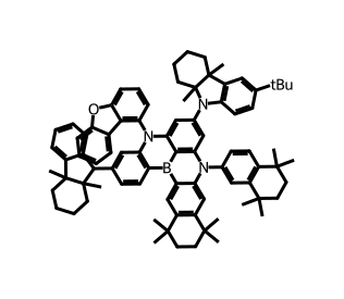 CC(C)(C)c1ccc2c(c1)C1(C)CCCCC1(C)N2c1cc2c3c(c1)N(c1cccc4oc5ccccc5c14)c1cc(C4c5ccccc5C5(C)CCCCC45C)ccc1B3c1cc3c(cc1N2c1ccc2c(c1)C(C)(C)CCC2(C)C)C(C)(C)CCC3(C)C